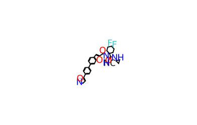 N#CC1(NC(=O)C2(NC(=O)c3cc4ccc(-c5ccc(-c6ccno6)cc5)cc4o3)CCC(F)(F)CC2)CC1